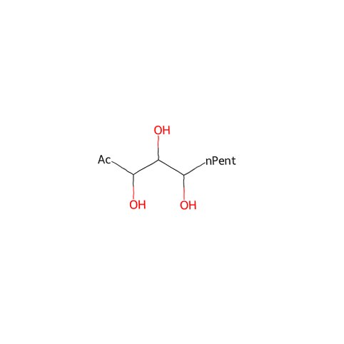 CCCCCC(O)C(O)C(O)C(C)=O